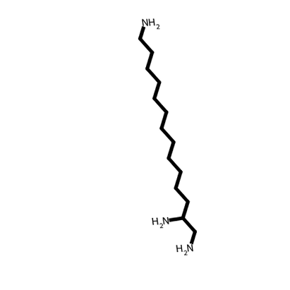 NCCCCCCCCCCCCC(N)CN